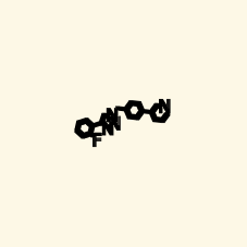 Fc1ccccc1-c1cn(Cc2ccc(-c3cccnc3)cc2)nn1